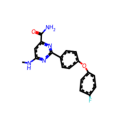 CNc1cc(C(N)=O)nc(-c2ccc(Oc3ccc(F)cc3)cc2)n1